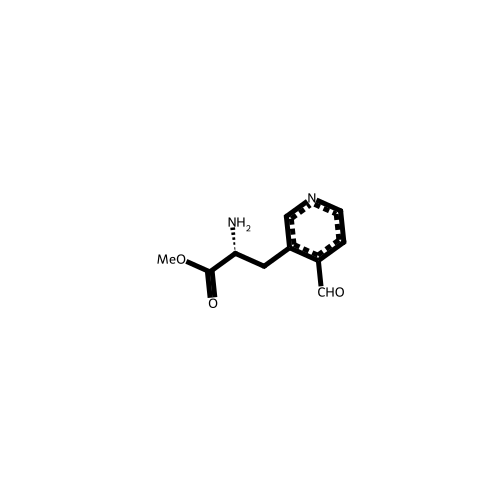 COC(=O)[C@H](N)Cc1cnccc1C=O